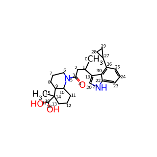 CC(CC(=O)N1CCCC2C1CCCC2(C)C(O)O)c1c[nH]c2cccc(C3CC3)c12